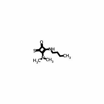 CCCCNc1c(N(C)C)c(=S)c1=O